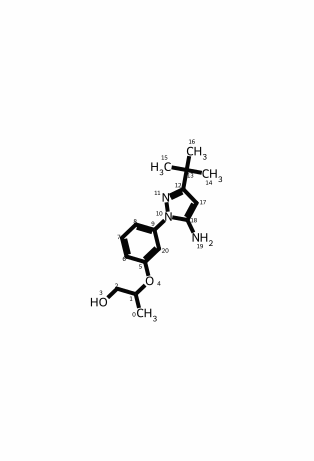 CC(CO)Oc1cccc(-n2nc(C(C)(C)C)cc2N)c1